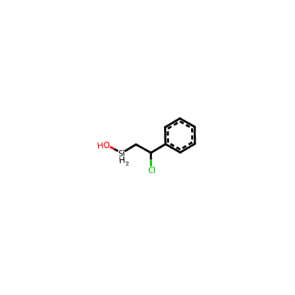 O[SiH2]CC(Cl)c1ccccc1